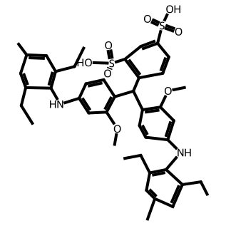 CCc1cc(C)cc(CC)c1Nc1ccc(C(c2ccc(Nc3c(CC)cc(C)cc3CC)cc2OC)c2ccc(S(=O)(=O)O)cc2S(=O)(=O)O)c(OC)c1